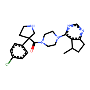 CC1CCc2ncnc(N3CCN(C(=O)C4(c5ccc(Cl)cc5)CCNC4)CC3)c21